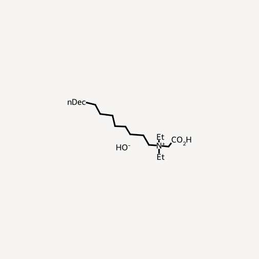 CCCCCCCCCCCCCCCCCC[N+](CC)(CC)CC(=O)O.[OH-]